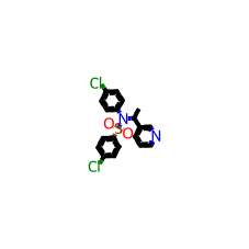 CC(c1cccnc1)N(c1ccc(Cl)cc1)S(=O)(=O)c1ccc(Cl)cc1